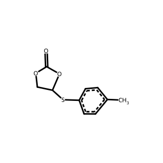 Cc1ccc(SC2COC(=O)O2)cc1